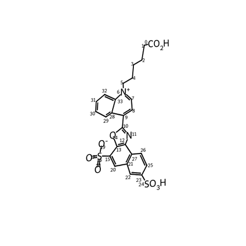 O=C(O)CCCCC[n+]1ccc(-c2nc3c(o2)c(S(=O)(=O)[O-])cc2cc(S(=O)(=O)O)ccc23)c2ccccc21